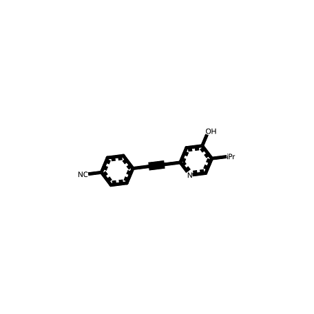 CC(C)c1cnc(C#Cc2ccc(C#N)cc2)cc1O